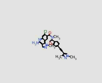 Cc1nn(C)cc1C#Cc1ccc2c(c1)OC[C@H]2N(C)C(=O)c1cc2c(cc1Cl)nc(N)c1cnn(C)c12